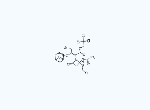 CC(=O)NC1(SC=O)CC(=O)N1C(C(=O)OCC(Cl)(Cl)Cl)=C(O)CBr.c1cc2cc(c1)O2